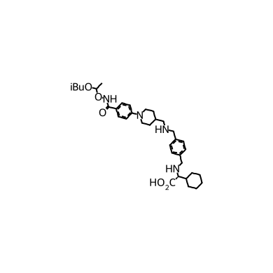 CC(C)COC(C)ONC(=O)c1ccc(N2CCC(CNCc3ccc(CN[C@H](C(=O)O)C4CCCCC4)cc3)CC2)cc1